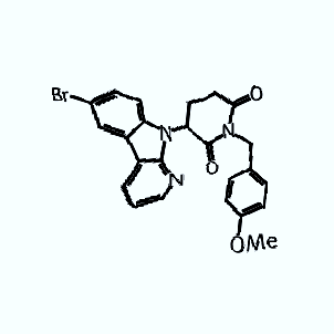 COc1ccc(CN2C(=O)CCC(n3c4ccc(Br)cc4c4cccnc43)C2=O)cc1